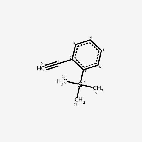 C#Cc1ccccc1[Si](C)(C)C